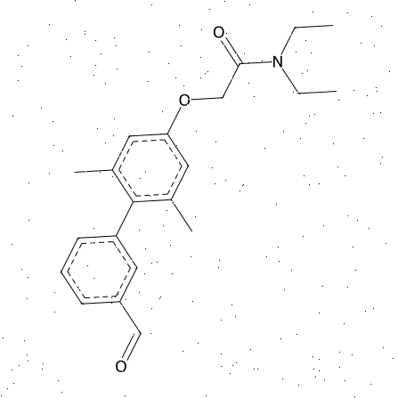 CCN(CC)C(=O)COc1cc(C)c(-c2cccc(C=O)c2)c(C)c1